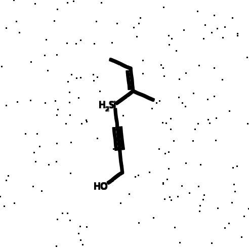 CC=C(C)[SiH2]C#CCO